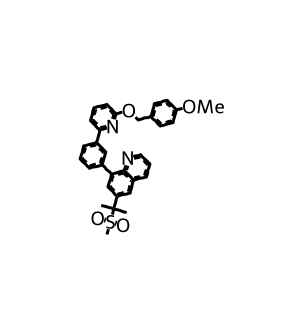 COc1ccc(COc2cccc(-c3cccc(-c4cc(C(C)(C)S(C)(=O)=O)cc5cccnc45)c3)n2)cc1